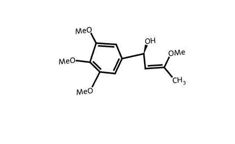 CO/C(C)=C\[C@H](O)c1cc(OC)c(OC)c(OC)c1